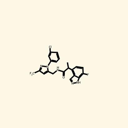 CC(C(=O)NCc1cc(C(F)(F)F)nn1-c1cccc(Cl)c1)c1ccc(F)c2[nH]ncc12